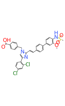 COc1cc(-c2ccc(/C=C/c3nc(-c4ccc(Cl)cc4Cl)cn3Cc3ccc(C(=O)O)cc3)cc2)ccc1NS(C)(=O)=O